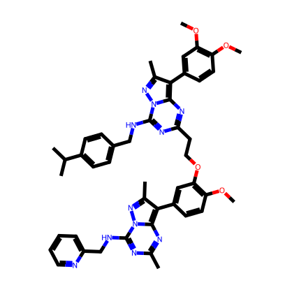 COc1ccc(-c2c(C)nn3c(NCc4ccc(C(C)C)cc4)nc(CCOc4cc(-c5c(C)nn6c(NCc7ccccn7)nc(C)nc56)ccc4OC)nc23)cc1OC